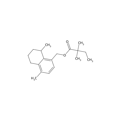 CCC(C)(C)C(=O)OCc1ccc(C)c2c1C(C)CCC2